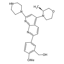 COc1ccc(-c2ccc3c(N4CCOC[C@@H]4C)cc(N4CCNCC4)nc3n2)cc1CO